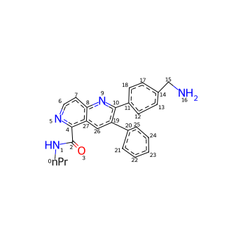 CCCNC(=O)c1nccc2nc(-c3ccc(CN)cc3)c(-c3ccccc3)cc12